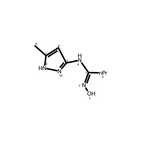 CCCC(=NO)Nc1cc(C)[nH]n1